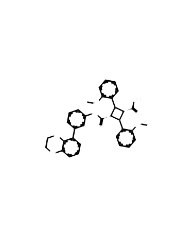 COc1ccccc1C1[C@H](C(=O)O)C(c2ccccc2OC)[C@@H]1C(=O)Oc1cccc(-c2cccc3c2OCCO3)c1